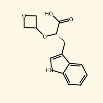 O=C(O)[C@H](Cc1c[nH]c2ccccc12)OC1COC1